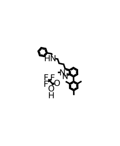 Cc1cc(C)c(-c2cccc3c(CCCNCc4ccccc4)n(C)nc23)c(C)c1.O=C(O)C(F)(F)F